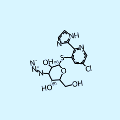 [N-]=[N+]=NC1C(O)[C@@H](Sc2cc(Cl)cnc2-c2ncc[nH]2)OC(CO)[C@@H]1O